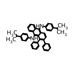 CC(C)c1ccc(Nc2c3ccccc3c(Nc3ccc(C(C)C)cc3)c3c(-c4ccccc4)c(-c4ccccc4)ccc23)cc1